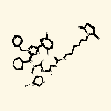 C[C@@H](COC(=O)NCCCCCCN1C(=O)C=CC1=O)NC(O)N(C[C@@H]1CNC[C@@H]1F)[C@@H](c1nc(-c2cc(F)ccc2F)cn1Cc1ccccc1)C1CCOCC1